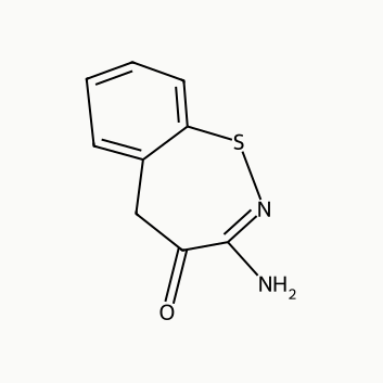 NC1=NSc2ccccc2CC1=O